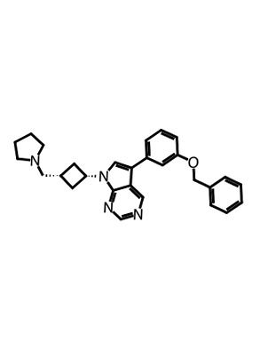 c1ccc(COc2cccc(-c3cn([C@H]4C[C@@H](CN5CCCC5)C4)c4ncncc34)c2)cc1